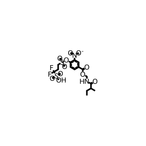 CCC(C)C(=O)NCOC(=O)c1ccc(OS(=O)(=O)CCC(F)(F)S(=O)(=O)O)c([N+](=O)[O-])c1